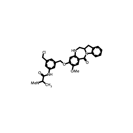 CNC(C)C(=O)Nc1cc(CCl)cc(COc2cc3c(cc2OC)C(=O)N2c4ccccc4CC2CN3)c1